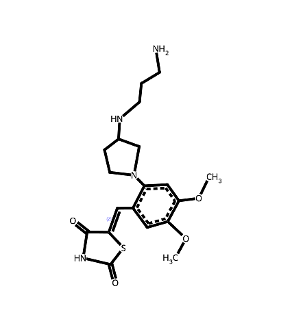 COc1cc(/C=C2\SC(=O)NC2=O)c(N2CCC(NCCCN)C2)cc1OC